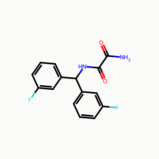 NC(=O)C(=O)NC(c1cccc(F)c1)c1cccc(F)c1